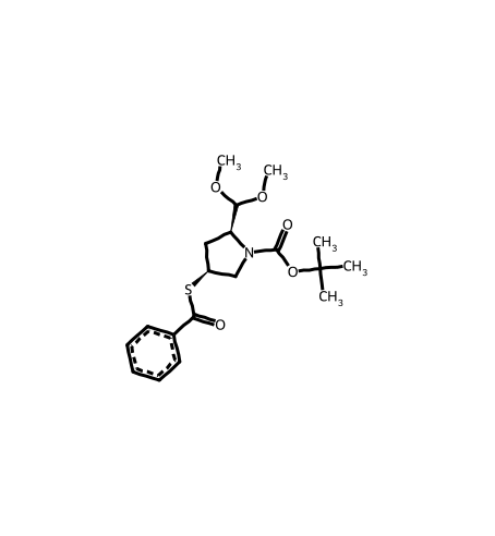 COC(OC)[C@@H]1C[C@H](SC(=O)c2ccccc2)CN1C(=O)OC(C)(C)C